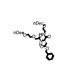 CCCCCCCCCCOCCNC(=O)[C@H](CC(=O)OCc1ccccc1)NC(=O)COCCOCCCCCCCCCC